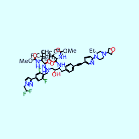 CC[C@@H]1CN(C2COC2)CCN1c1ccc(C#Cc2ccc(C[C@H](NC(=O)[C@@H](NC(=O)OC)C(C)(C)C(F)(F)F)[C@@H](O)CN(Cc3c(F)cc(-c4ccn(CC(F)F)n4)cc3F)NC(=O)[C@@H](NC(=O)OC)C(C)(C)C(F)(F)F)cc2)cn1